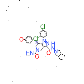 CCNC(=O)N1C/C(=C\c2ccc(OC)cc2)c2c(c(C(=O)NN3CC4CCCC4C3)nn2-c2ccc(Cl)cc2Cl)C1